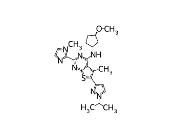 CO[C@@H]1CC[C@@H](Nc2nc(-c3nccn3C)nc3sc(-c4ccn(C(C)C)n4)c(C)c23)C1